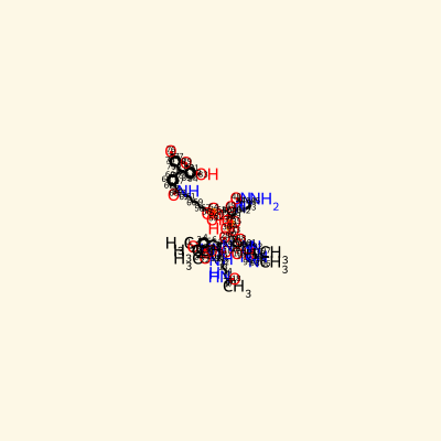 COc1ccc(C[C@H](NC(=O)[C@@H](CCCNC(C)=O)NC(=O)OC(C)(C)C)C(=O)NC2[C@@H](COP(=O)(O)OC3C[C@H](n4ccc(N)nc4=O)O[C@@H]3COP(=O)(O)OCCCCCCNC(=O)c3cccc(-c4c5ccc(=O)cc-5oc5cc(O)ccc45)c3)O[C@@H](n3cnc4c(N(C)C)ncnc43)[C@H]2O)cc1